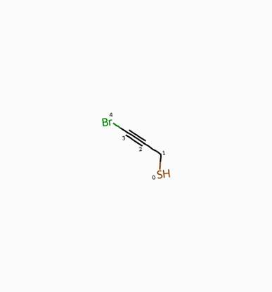 SCC#CBr